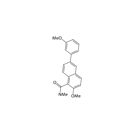 CNC(=O)c1c(OC)ccc2cc(-c3cccc(OC)c3)ccc12